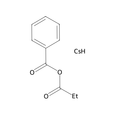 CCC(=O)OC(=O)c1ccccc1.[CsH]